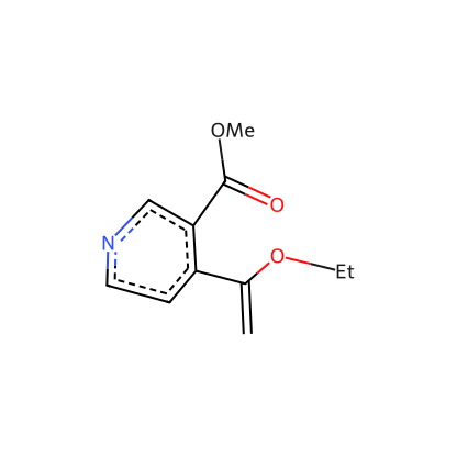 C=C(OCC)c1ccncc1C(=O)OC